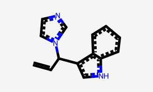 C=CC(c1c[nH]c2ccccc12)n1ccnc1